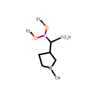 CCOP(OCC)C(C(=O)O)C1CCB(C#N)C1